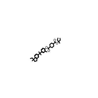 CCC(C)(CC)OC(=O)C1CCC(C(=O)Oc2ccc(C(C)(C)c3ccc4c(c3)CCC4(C)CC)cc2C)CC1